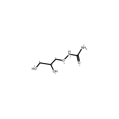 NC(=O)NOCC(O)CO